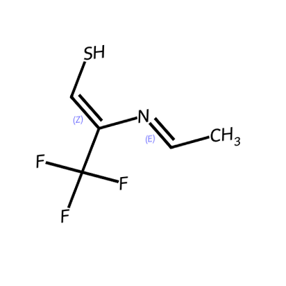 C/C=N/C(=C\S)C(F)(F)F